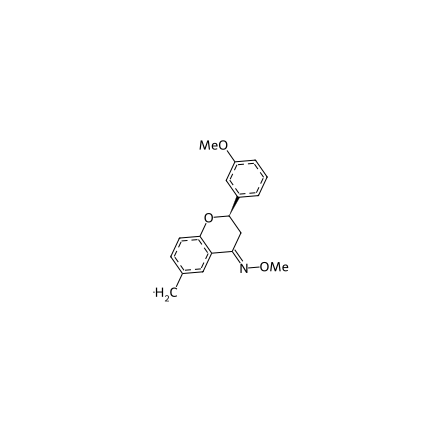 [CH2]c1ccc2c(c1)C(=NOC)C[C@H](c1cccc(OC)c1)O2